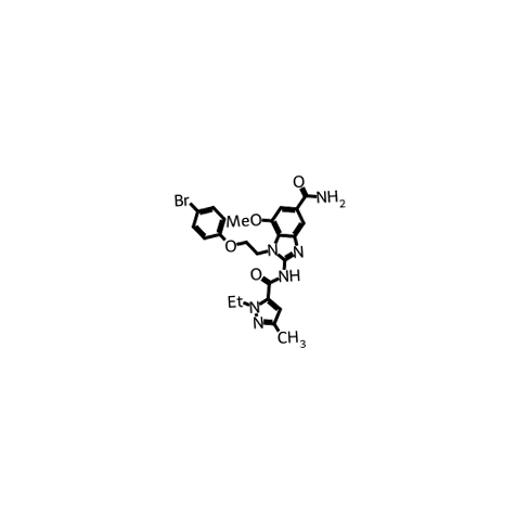 CCn1nc(C)cc1C(=O)Nc1nc2cc(C(N)=O)cc(OC)c2n1CCOc1ccc(Br)cc1